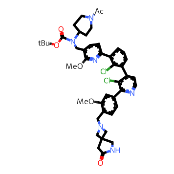 COc1cc(-c2nccc(-c3cccc(-c4ccc(CN(C(=O)OC(C)(C)C)C5CCN(C(C)=O)CC5)c(OC)n4)c3Cl)c2Cl)ccc1CN1CC2(CNC(=O)C2)C1